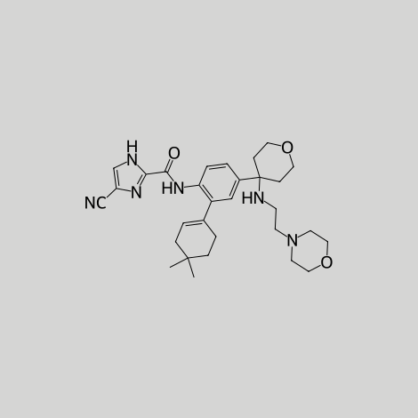 CC1(C)CC=C(c2cc(C3(NCCN4CCOCC4)CCOCC3)ccc2NC(=O)c2nc(C#N)c[nH]2)CC1